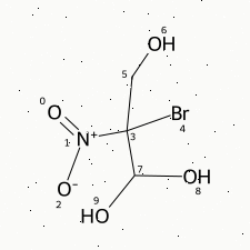 O=[N+]([O-])C(Br)(CO)C(O)O